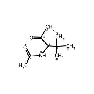 CC(=O)NC(C(C)=O)C(C)(C)C